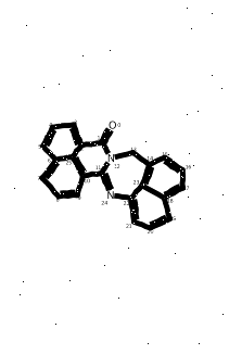 O=c1c2cccc3cccc(c4n1Cc1cccc5cccc(c15)N=4)c32